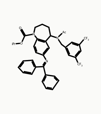 CC(=O)N(Cc1cc(C(F)(F)F)cc(C(F)(F)F)c1)C1CCCN(C(=O)OC(C)C)c2ccc(N=C(c3ccccc3)c3ccccc3)cc21